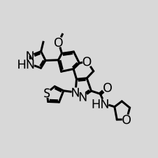 COc1cc2c(cc1-c1c[nH]nc1C)-c1c(c(C(=O)NC3CCOC3)nn1-c1ccsc1)CO2